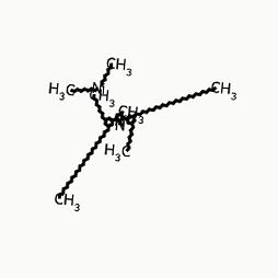 CCCCCCCCCCCCCCCCCCCCCCCCCc1cc(CCCCCCCC)cc(C2=CC(C)=C(c3cc(CCCCCCCC)cc(CCCCCCCCCCCCCCCCCCCCCCCCC)c3)[N+]2=[N-])c1.CCCCCCC[CH2][Ni][CH2]CCCCCCC